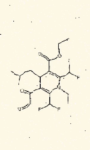 CCOC(=O)C1=C(C(F)F)N(CC)C(C(F)F)=C(C(=O)[C]=O)C1CC(C)C